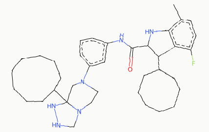 Cc1ccc(F)c2c1NC(C(=O)Nc1cccc(N3CCN4CNNC4(C4CCCCCCCC4)C3)c1)C2C1CCCCCCC1